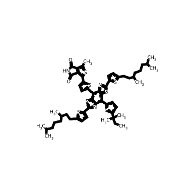 CCC(C)(C)c1ccc(-c2c3nc(-c4ccc(CCC(C)CCCC(C)C)s4)sc3c(-c3ccc(-c4sc(C)c5c4C(=O)NC5=O)s3)c3nc(-c4ccc(CCC(C)CCCC(C)C)s4)sc23)s1